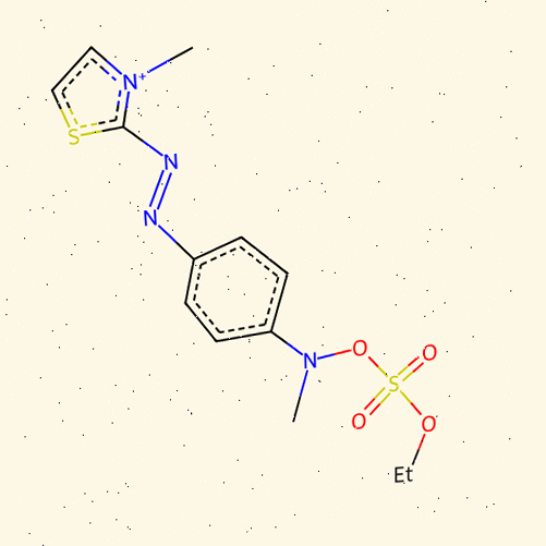 CCOS(=O)(=O)ON(C)c1ccc(N=Nc2scc[n+]2C)cc1